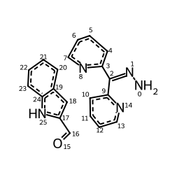 NN=C(c1ccccn1)c1ccccn1.O=Cc1cc2ccccc2[nH]1